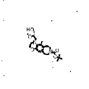 CO[C@H](CO)CN1CCOc2cc3c(c(C)c21)CCN(C(=O)OC(C)(C)C)CC3